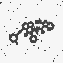 CNc1nn2cccnc2c1C(=O)N[C@@H](C)c1c2c3c(ccc(C#CC4=CC(C)CCN=C4)c3c(=O)n1-c1ccccc1)CC2